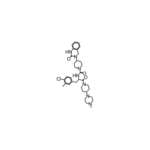 Cc1cc(CC(NC(=O)N2CCC(N3Cc4ccccc4NC3=O)CC2)C(=O)N2CCC(N3CCN(C)CC3)CC2)ccc1Cl